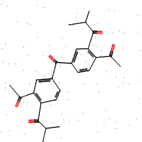 CC(=O)c1cc(C(=O)c2ccc(C(C)=O)c(C(=O)C(C)C)c2)ccc1C(=O)C(C)C